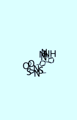 CCSc1nc2csc(C(=O)OC)c2n1Cc1ccc(-c2ccccc2-c2nnn[nH]2)cc1